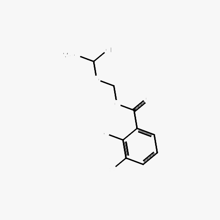 COC(C)OCOC(=O)c1cccc(O)c1C